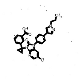 CCCn1cc(-c2ccc(-n3c(=O)n(C4(c5cccc(C(=O)O)c5)CC4)c4ncc(Cl)cc43)cc2)cn1